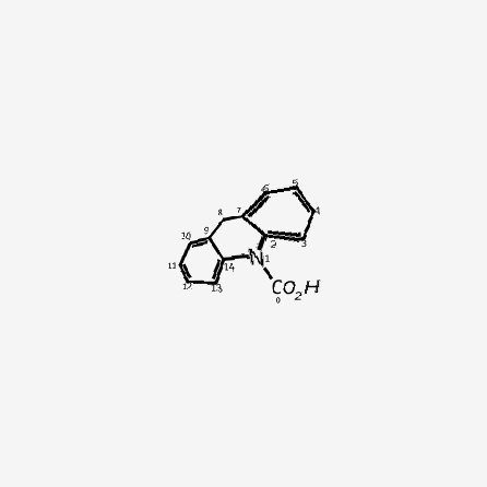 O=C(O)N1c2ccccc2Cc2ccccc21